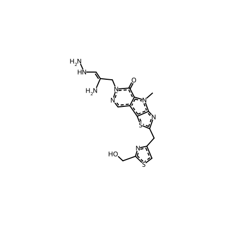 Cn1c2nc(Cc3csc(CO)n3)sc2c2cnn(C/C(N)=C/NN)c(=O)c21